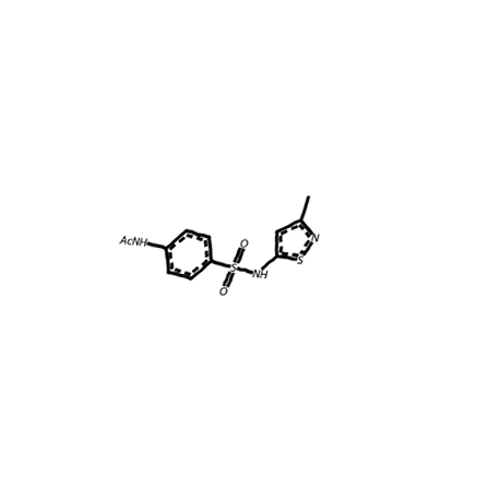 CC(=O)Nc1ccc(S(=O)(=O)Nc2cc(C)ns2)cc1